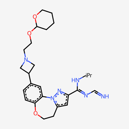 CC(C)N/C(=N\C=N)c1cc2n(n1)-c1cc(C3CN(CCOC4CCCCO4)C3)ccc1OCC2